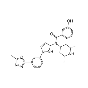 Cc1nnc(-c2cccc(N3C=CC(N(C(=O)c4cccc(O)c4)C4C[C@@H](C)N[C@@H](C)C4)N3)c2)o1